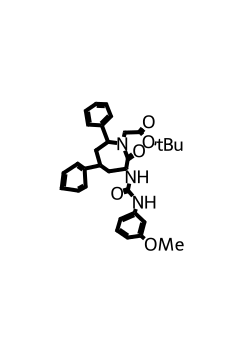 COc1cccc(NC(=O)NC2CC(c3ccccc3)CC(c3ccccc3)N(CC(=O)OC(C)(C)C)C2=O)c1